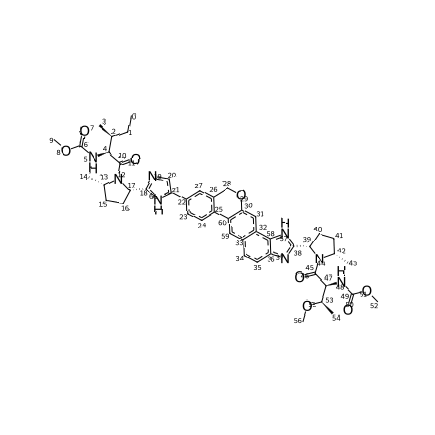 CC[C@H](C)[C@H](NC(=O)OC)C(=O)N1[C@@H](C)CC[C@H]1c1ncc(-c2ccc3c(c2)COc2cc4c(ccc5nc([C@@H]6CC[C@H](C)N6C(=O)[C@@H](NC(=O)OC)[C@@H](C)OC)[nH]c54)cc2-3)[nH]1